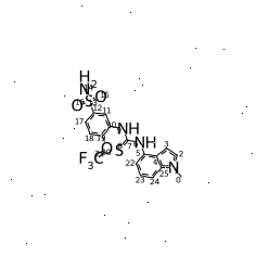 Cn1ccc2c(NC(=S)Nc3cc(S(N)(=O)=O)ccc3OC(F)(F)F)cccc21